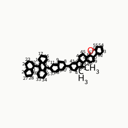 CC1(C)c2ccc(-c3ccc4cc(-c5c6ccccc6c(-c6cccc7ccccc67)c6ccccc56)ccc4c3)cc2-c2ccc3c(ccc4c5ccccc5oc34)c21